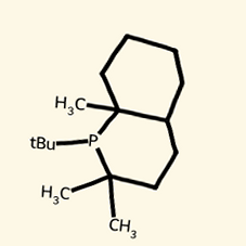 CC(C)(C)P1C(C)(C)CCC2CCCCC21C